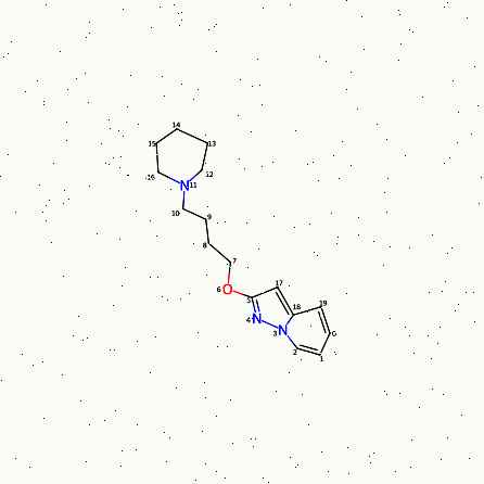 c1ccn2nc(OCCCCN3CCCCC3)cc2c1